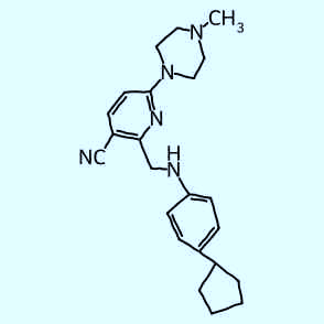 CN1CCN(c2ccc(C#N)c(CNc3ccc(C4CCCC4)cc3)n2)CC1